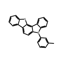 Cc1cccc(-n2c3ccccc3c3c4sc5ccccc5c4ccc32)c1